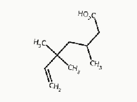 C=CC(C)(C)CC(C)CC(=O)O